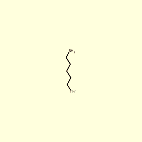 BCCCCCCCC